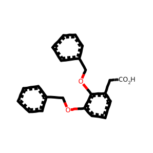 O=C(O)Cc1cccc(OCc2ccccc2)c1OCc1ccccc1